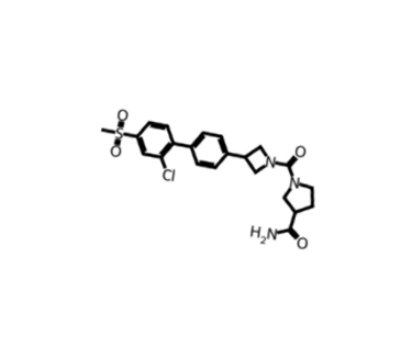 CS(=O)(=O)c1ccc(-c2ccc(C3CN(C(=O)N4CCC(C(N)=O)C4)C3)cc2)c(Cl)c1